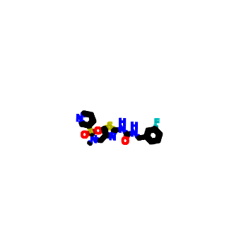 CN(Cc1csc(NC(=O)NCc2cccc(F)c2)n1)S(=O)(=O)c1cccnc1